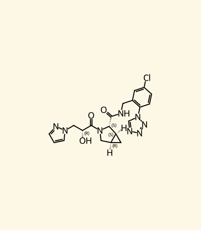 O=C(NCc1cc(Cl)ccc1-n1cnnn1)[C@@H]1[C@H]2C[C@H]2CN1C(=O)[C@H](O)Cn1cccn1